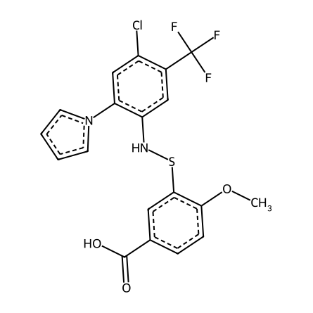 COc1ccc(C(=O)O)cc1SNc1cc(C(F)(F)F)c(Cl)cc1-n1cccc1